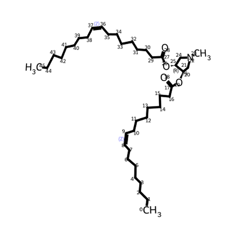 CCCCCCCC/C=C\CCCCCCCC(=O)O[C@@H]1CN(C)C[C@H]1OC(=O)CCCCCCC/C=C\CCCCCCCC